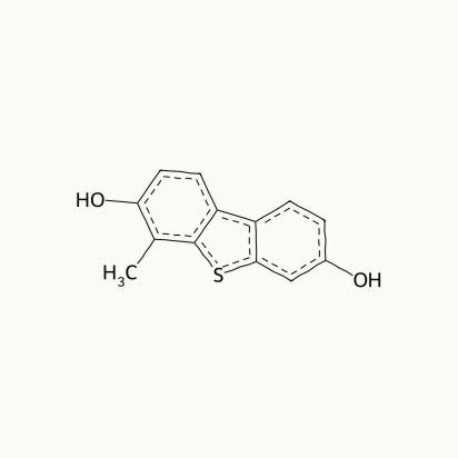 Cc1c(O)ccc2c1sc1cc(O)ccc12